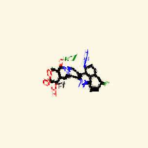 CC[C@@]1(O)C(=O)OCc2c1cc1n(c2=O)Cc2c-1nc1ccc(F)c3c1c2C(N)CC3.Cl